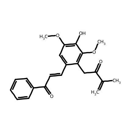 C=C(C)C(=O)Cc1c(C=CC(=O)c2ccccc2)cc(OC)c(O)c1OC